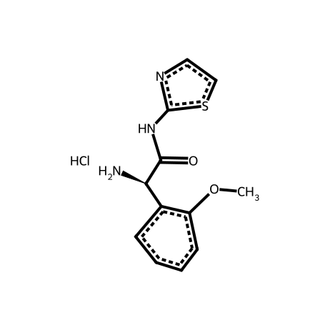 COc1ccccc1[C@@H](N)C(=O)Nc1nccs1.Cl